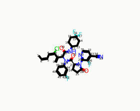 C=C(/C(Cl)=C\C=C/C)[C@@H](C(=O)NC1CCC(F)(F)CC1)N(C(=O)[C@@H]1CCC(=O)N1c1nccc(C#N)c1F)c1cccc(F)c1